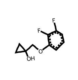 OC1(COc2cccc(F)c2F)CC1